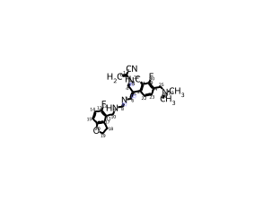 C=C(C#N)/N=C/C(=C\N=C\NCc1c(F)ccc2c1CCO2)c1ccc(CN(C)C)c(F)c1C